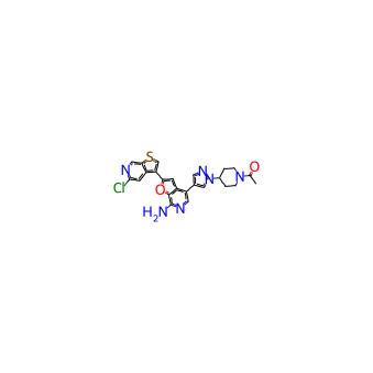 CC(=O)N1CCC(n2cc(-c3cnc(N)c4oc(-c5csc6cnc(Cl)cc56)cc34)cn2)CC1